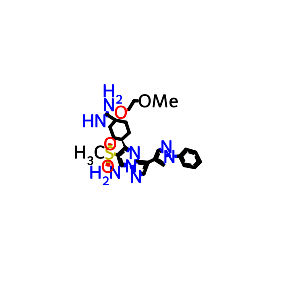 COCCO[C@]1(C(=N)N)CC[C@@H](c2nc3c(-c4cnn(-c5ccccc5)c4)cnn3c(N)c2S(C)(=O)=O)CC1